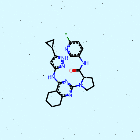 O=C(Nc1ccc(F)nc1)C1CCCN1c1nc2c(c(Nc3cc(C4CC4)[nH]n3)n1)CCCC2